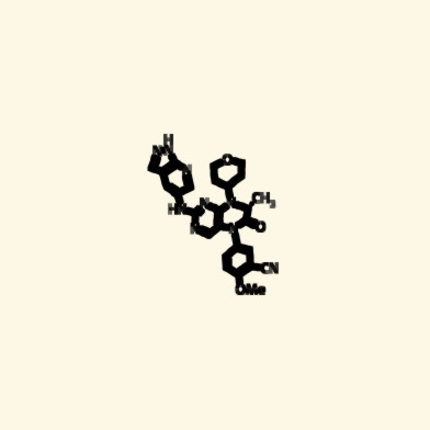 COc1ccc(N2C(=O)[C@@H](C)N(C3CCOCC3)c3nc(Nc4cnc5[nH]ncc5c4)ncc32)cc1C#N